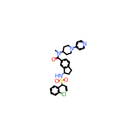 C=CC(c1ccccc1Cl)S(=O)(=O)N[C@@H]1CCc2ccc(C(=O)N(C)C3CCN(c4ccncc4)CC3)cc21